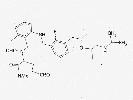 BC(B)NCC(C)OC(C)Cc1cccc(CNc2cccc(C)c2CN(C=O)C(CCC=O)C(=O)NC)c1F